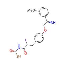 COc1cccc(C(=N)COc2ccc(CC(I)C(=O)NC(=O)S)cc2)c1